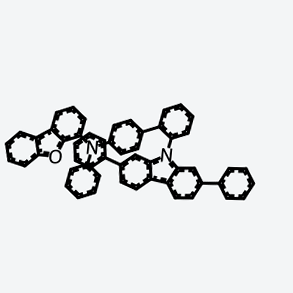 c1ccc(-c2ccc3c4ccc(-c5ccccc5)cc4n(-c4ccccc4-c4ccc(N(c5ccccc5)c5cccc6c5oc5ccccc56)cc4)c3c2)cc1